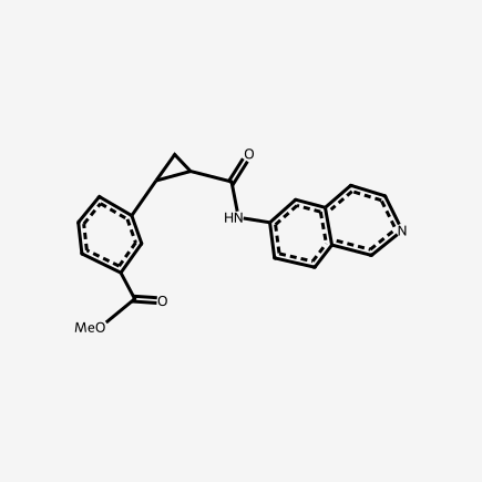 COC(=O)c1cccc(C2CC2C(=O)Nc2ccc3cnccc3c2)c1